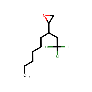 CCCCCCC(CC(Cl)(Cl)Cl)C1CO1